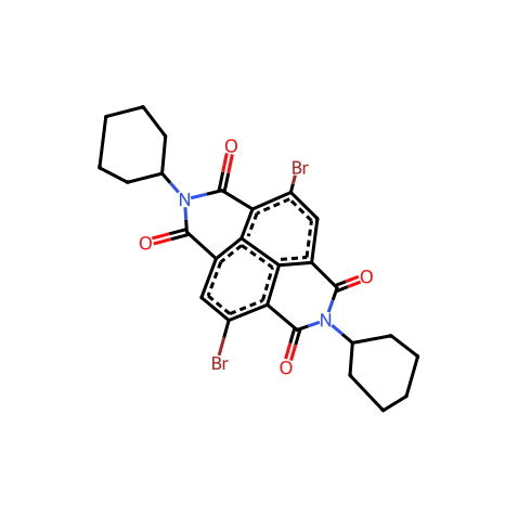 O=C1c2cc(Br)c3c4c(cc(Br)c(c24)C(=O)N1C1CCCCC1)C(=O)N(C1CCCCC1)C3=O